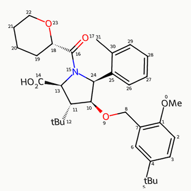 COc1ccc(C(C)(C)C)cc1CO[C@H]1[C@H](C(C)(C)C)[C@@H](C(=O)O)N(C(=O)[C@@H]2CCCCO2)[C@H]1c1ccccc1C